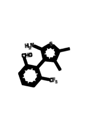 Cc1sc(N)c(-c2c(C=O)cccc2C(F)(F)F)c1C